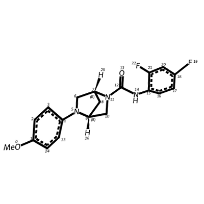 COc1ccc(N2C[C@H]3C[C@@H]2CN3C(=O)Nc2ccc(F)cc2F)cc1